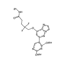 COc1ncc(-c2cc(OCC(F)(F)CCC(=O)NC(C)C)c3nccn3n2)c(OC)n1